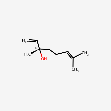 C=C[C@@](C)(O)CCC=C(C)C